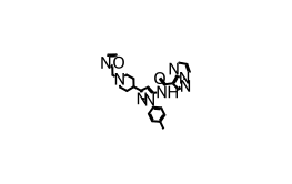 Cc1ccc(-n2nc(C3CCN(Cc4ncco4)CC3)cc2NC(=O)c2cnn3cccnc23)cc1